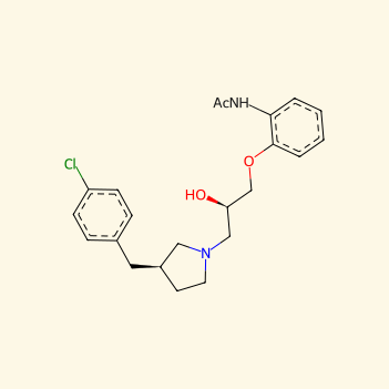 CC(=O)Nc1ccccc1OC[C@H](O)CN1CC[C@@H](Cc2ccc(Cl)cc2)C1